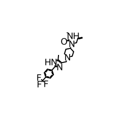 C=CCN(C(=O)NC)C1CCN(Cc2nc(-c3ccc(C(F)(F)F)cc3)[nH]c2C)CC1